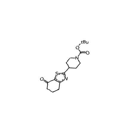 CC(C)(C)OC(=O)N1CCC(c2nc3c(s2)C(=O)CCC3)CC1